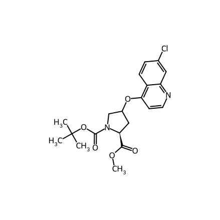 COC(=O)[C@@H]1CC(Oc2ccnc3cc(Cl)ccc23)CN1C(=O)OC(C)(C)C